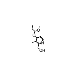 CCC(OC)Oc1ccnc(CO)c1C